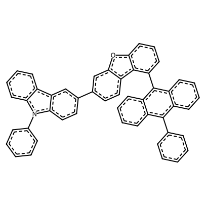 c1ccc(-c2c3ccccc3c(-c3cccc4oc5cc(-c6ccc7c(c6)c6ccccc6n7-c6ccccc6)ccc5c34)c3ccccc23)cc1